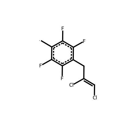 [CH2]c1c(F)c(F)c(CC(Cl)=CCl)c(F)c1F